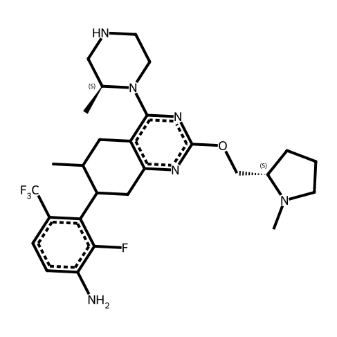 CC1Cc2c(nc(OC[C@@H]3CCCN3C)nc2N2CCNC[C@@H]2C)CC1c1c(C(F)(F)F)ccc(N)c1F